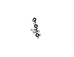 N[C@@H](Cc1ccc(OCc2ccccn2)cc1)C(=O)Nc1ccc(F)c(F)c1